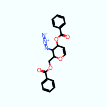 [N-]=[N+]=NC1C(OC(=O)c2ccccc2)C=COC1COC(=O)c1ccccc1